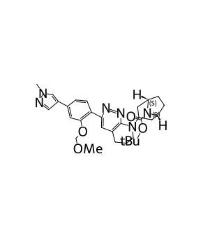 COCOc1cc(-c2cnn(C)c2)ccc1-c1cc2c(nn1)N(C1C[C@H]3CC[C@@H](C1)N3C(=O)OC(C)(C)C)CCC2